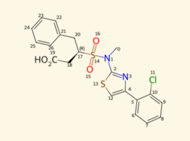 CN(c1nc(-c2ccccc2Cl)cs1)S(=O)(=O)[C@@H](CC(=O)O)Cc1ccccc1